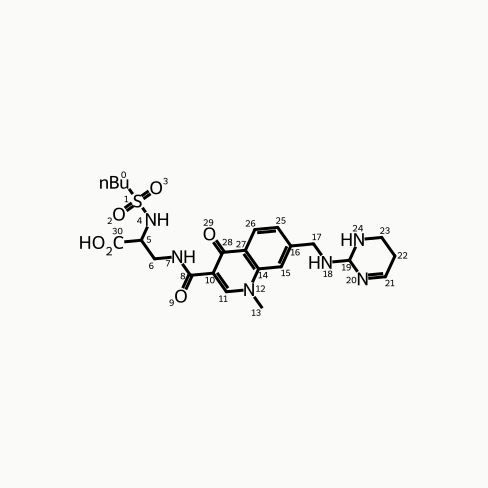 CCCCS(=O)(=O)NC(CNC(=O)c1cn(C)c2cc(CNC3N=CCCN3)ccc2c1=O)C(=O)O